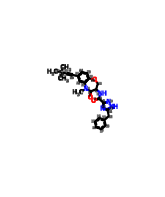 CN1C(=O)C(NC(=O)c2n[nH]c(Cc3ccccc3)n2)COc2ccc(C#C[Si](C)(C)C)cc21